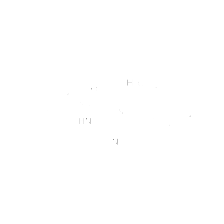 C[C@@H]1CCCC[C@@H]1c1cnc(NC(=O)C2CCC2)s1